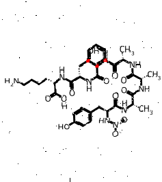 C[C@H](NC(=O)[C@H](C)NC(=O)[C@H](Cc1ccc(O)cc1)N[N+](=O)[O-])C(=O)N[C@@H](C)C(=O)N[C@@H](CO)C(=O)N[C@@H](Cc1ccccc1)C(=O)N[C@@H](CCCCN)C(=O)O